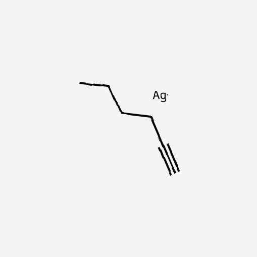 C#CCCCC.[Ag]